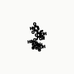 CC[C@]1(O)[C@H](n2ccc(=O)[nH]c2=O)O[C@H](COP(=O)(O)OP(=O)(O)OP(=O)(O)O)[C@]1(O)CF